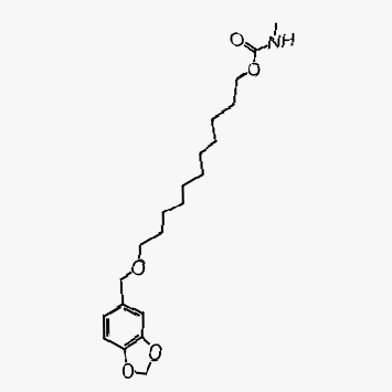 CNC(=O)OCCCCCCCCCCCOCc1ccc2c(c1)OCO2